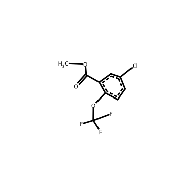 COC(=O)c1cc(Cl)ccc1OC(F)(F)F